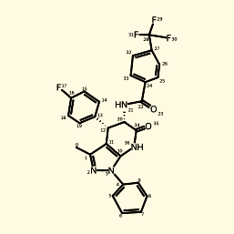 Cc1nn(-c2ccccc2)c2c1[C@H](c1ccc(F)cc1)[C@H](NC(=O)c1ccc(C(F)(F)F)cc1)C(=O)N2